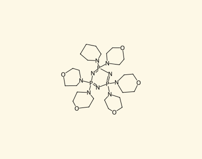 C1CCN(P2(N3CCOCC3)=NP(N3CCOCC3)(N3CCOCC3)=NP(N3CCOCC3)(N3CCOCC3)=N2)CC1